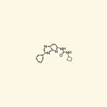 O=C(Nc1ccc2ncc(-c3ccccc3)nc2n1)NC1CCC1